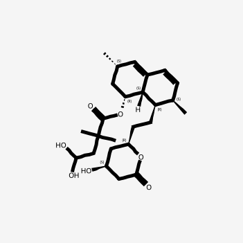 C[C@@H]1C=C2C=C[C@@H](C)[C@@H](CC[C@@H]3C[C@H](O)CC(=O)O3)[C@@H]2[C@H](OC(=O)C(C)(C)CC(O)O)C1